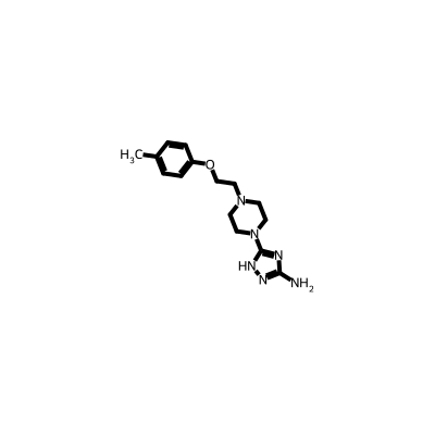 Cc1ccc(OCCN2CCN(c3nc(N)n[nH]3)CC2)cc1